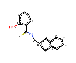 Oc1ccccc1C(=S)NCc1ccc2ccccc2c1